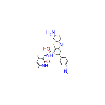 Cc1cc(C)c(CNC(O)c2cc(-c3ccc(CN(C)C)cc3)cc(N(C)[C@H]3CC[C@@H](N)CC3)c2C)c(=O)[nH]1